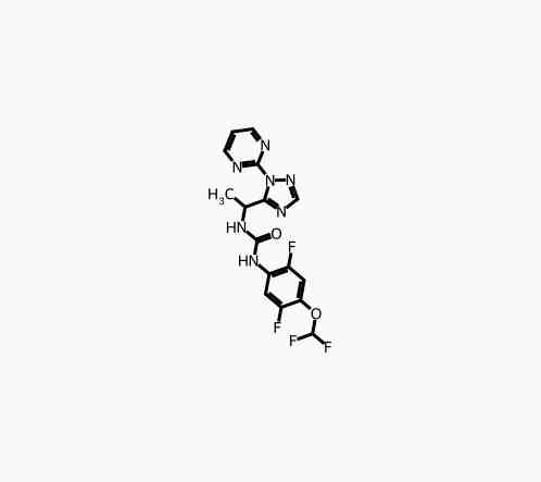 CC(NC(=O)Nc1cc(F)c(OC(F)F)cc1F)c1ncnn1-c1ncccn1